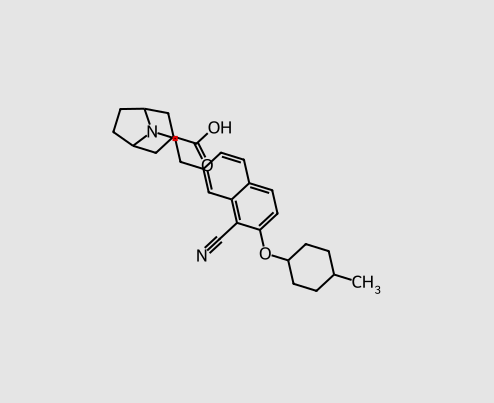 CC1CCC(Oc2ccc3ccc(CCN4C5CCC4CC(C(=O)O)C5)cc3c2C#N)CC1